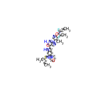 C=C(F)/C(Oc1cc(C)c(-n2ncc(C(=O)c3cc4cc(N5CCOCC5)c(NSC(C)CCC)cc4[nH]3)c2N)cn1)=C(/F)CCC